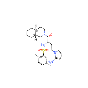 Cc1ccc(C)c(S(=O)(=O)NC(CCn2cccc2N)C(=O)N2CC[C@@H]3CCCC[C@H]3C2)c1